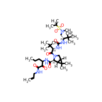 C=CCNC(=O)C(=O)C(CCC)NC(=O)[C@@H]1[C@@H]2[C@H](CN1C(=O)[C@@H](NC(=O)N[C@H](CN(C)S(=O)(=O)C(C)C)C(C)(C)C)C(C)(C)C)C2(C)C